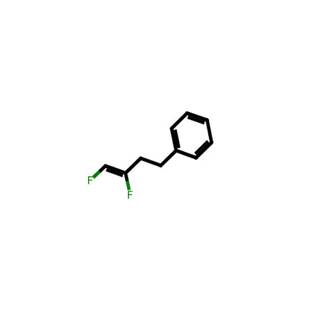 FC=C(F)CCc1ccccc1